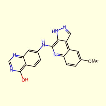 COc1ccc2nc(Nc3ccc4c(O)ncnc4c3)c3[nH]ncc3c2c1